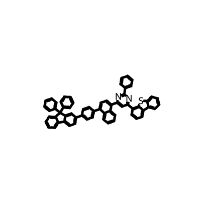 c1ccc(-c2nc(-c3ccc(-c4ccc(-c5ccc6c(c5)C(c5ccccc5)(c5ccccc5)c5ccccc5-6)cc4)c4ccccc34)cc(-c3cccc4c3sc3ccccc34)n2)cc1